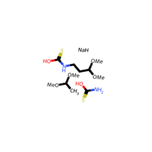 COC(C)OC.COC(CCNC(O)=S)OC.NC(O)=S.[NaH]